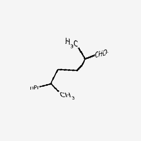 CCCC(C)CCC(C)[C]=O